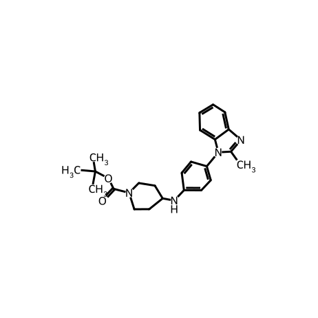 Cc1nc2ccccc2n1-c1ccc(NC2CCN(C(=O)OC(C)(C)C)CC2)cc1